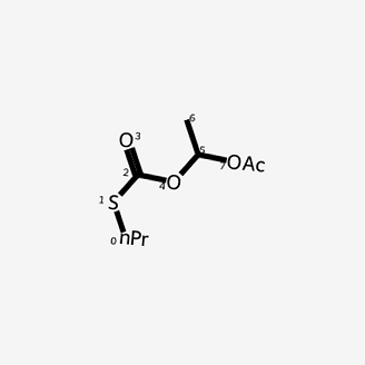 CCCSC(=O)OC(C)OC(C)=O